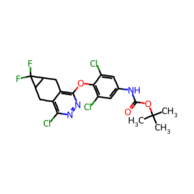 CC(C)(C)OC(=O)Nc1cc(Cl)c(Oc2nnc(Cl)c3c2CC2C(C3)C2(F)F)c(Cl)c1